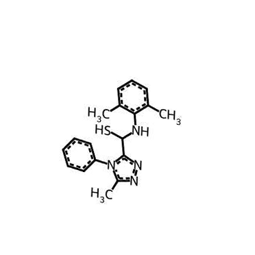 Cc1cccc(C)c1NC(S)c1nnc(C)n1-c1ccccc1